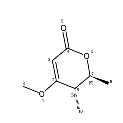 COC1=CC(=O)O[C@@H](C)[C@@H]1C